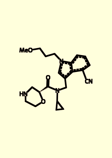 COCCCn1cc(CN(C(=O)[C@H]2CNCCO2)C2CC2)c2c(C#N)cccc21